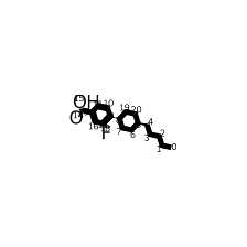 CCCCC[C@H]1CC[C@H](c2ccc(C(=O)O)cc2F)CC1